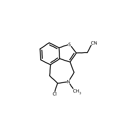 CN1Cc2c(CC#N)sc3cccc(c23)CC1Cl